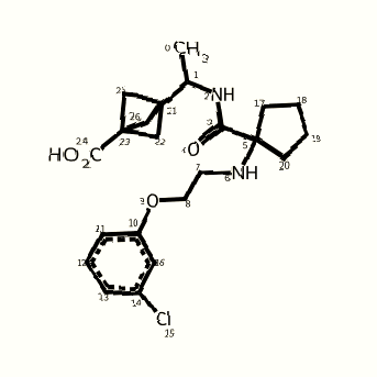 CC(NC(=O)C1(NCCOc2cccc(Cl)c2)CCCC1)C12CC(C(=O)O)(C1)C2